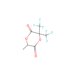 CC1OC(=O)C(C(F)(F)F)(C(F)(F)F)OC1=O